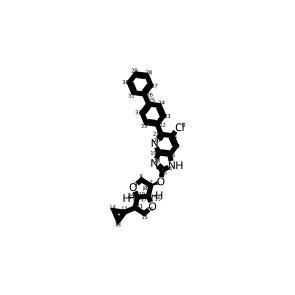 Clc1cc2[nH]c(O[C@@H]3CO[C@@H]4C(C5CC5)CO[C@@H]43)nc2nc1-c1ccc(-c2ccccc2)cc1